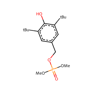 COP(=O)(OC)OCc1cc(C(C)(C)C)c(O)c(C(C)(C)C)c1